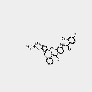 CN(C)Cc1ccc2n1Cc1ccccc1N(C(=O)c1ccc(NC(=O)c3ccc(F)cc3Cl)cc1Cl)C2